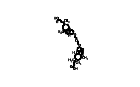 C[C@H](CCC(=O)O)[C@@H]1CCC[C@H]2[C@@H](CC[C@@H]3C[C@H](OCCOCCO[C@@H]4CC[C@@]5(C)[C@H](CC[C@H]6[C@@H](C)CC[C@H](C(C)(C)CCC(=O)O)CCC[C@@H]65)C4)CC[C@@]32C)[C@@H](C)CC1